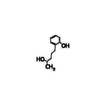 CC(O)CCCc1ccccc1O